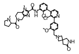 COc1cc(-c2nccc(-c3cccc(NC(=O)c4nc5c(n4C)CCN(C(=O)C4CCCN4C)C5)c3Cl)c2Cl)ccc1CN1CC2(CNC(=O)C2)C1